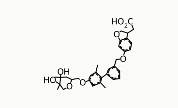 Cc1cc(OCC2CC(C)(O)C(C)(O)CO2)cc(C)c1-c1cccc(COc2ccc3c(c2)OCC3CC(=O)O)c1